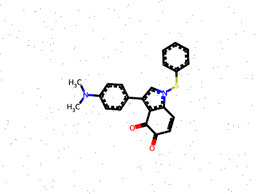 CN(C)c1ccc(-c2cn(Sc3ccccc3)c3c2C(=O)C(=O)C=C3)cc1